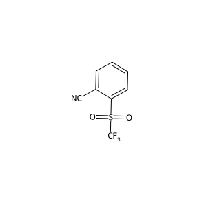 N#Cc1ccccc1S(=O)(=O)C(F)(F)F